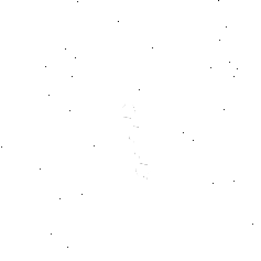 O=C(CN1CCN(c2ccncc2)CC1)c1ccc(OC(C(=O)O)C(=O)O)cc1